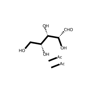 CC(C)=O.CC(C)=O.O=C[C@H](O)[C@@H](O)[C@H](O)CO